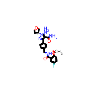 COc1ccc(F)cc1C(=O)NCc1ccc(-c2nn([C@@H]3CCOC3)c(N)c2C(N)=O)cc1